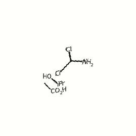 CC(=O)O.CC(C)O.NC(Cl)Cl